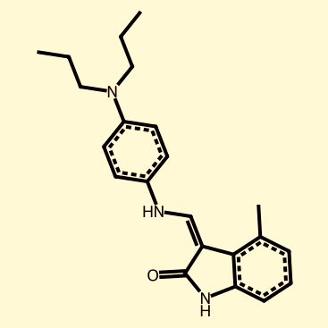 CCCN(CCC)c1ccc(NC=C2C(=O)Nc3cccc(C)c32)cc1